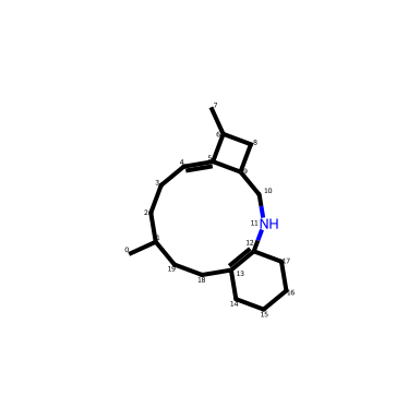 CC1CC/C=C2/C(C)CC2CNC2=C(CCCC2)CC1